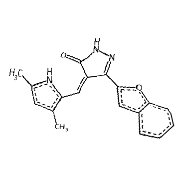 Cc1cc(C)c(C=C2C(=O)NN=C2c2cc3ccccc3o2)[nH]1